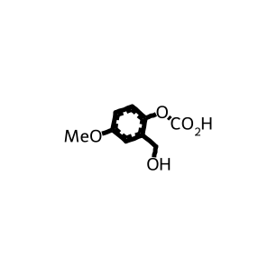 COc1ccc(OC(=O)O)c(CO)c1